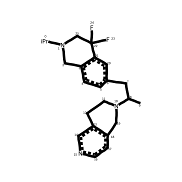 CC(C)N1Cc2ccc(CC(C)N3CCc4cnccc4C3)cc2C(F)(F)C1